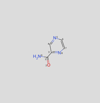 NC(=O)c1cnc[c]n1